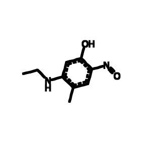 CCNc1cc(O)c(N=O)cc1C